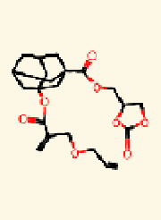 C=CCOCC(=C)C(=O)OC12CC3CC(C1)CC(C(=O)OCC1COC(=O)O1)(C3)C2